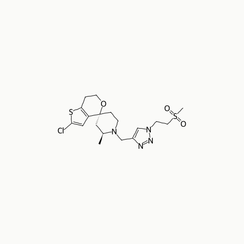 C[C@H]1C[C@@]2(CCN1Cc1cn(CCS(C)(=O)=O)nn1)OCCc1sc(Cl)cc12